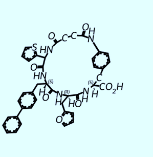 O=C1CCC(=O)NC(c2cccs2)C(=O)N[C@@H](Cc2ccc(-c3ccccc3)cc2)C(=O)N[C@H](Cc2ccco2)C(=O)N[C@H](C(=O)O)Cc2ccc(cc2)N1